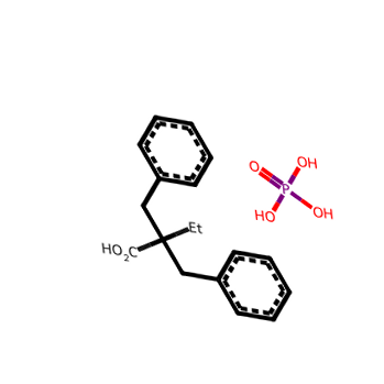 CCC(Cc1ccccc1)(Cc1ccccc1)C(=O)O.O=P(O)(O)O